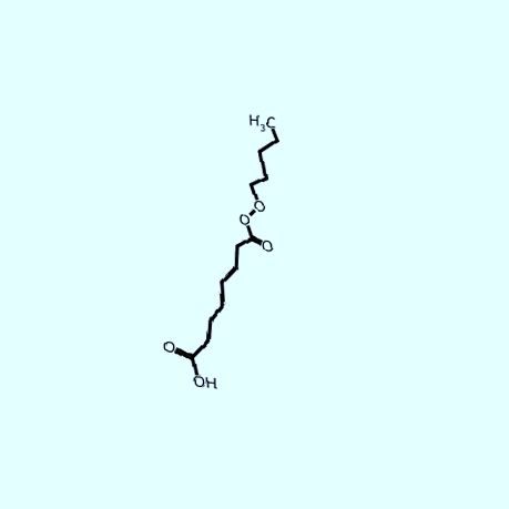 CCCCCOOC(=O)CCCCCCC(=O)O